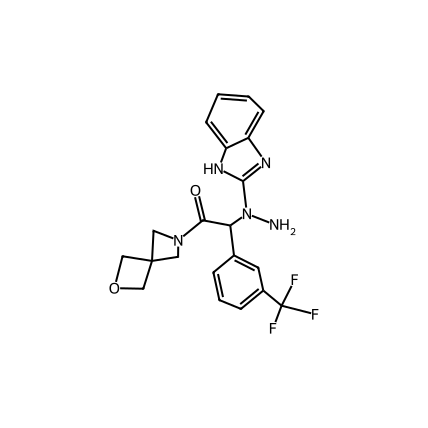 NN(c1nc2ccccc2[nH]1)C(C(=O)N1CC2(COC2)C1)c1cccc(C(F)(F)F)c1